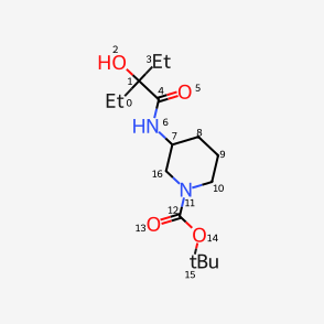 CCC(O)(CC)C(=O)NC1CCCN(C(=O)OC(C)(C)C)C1